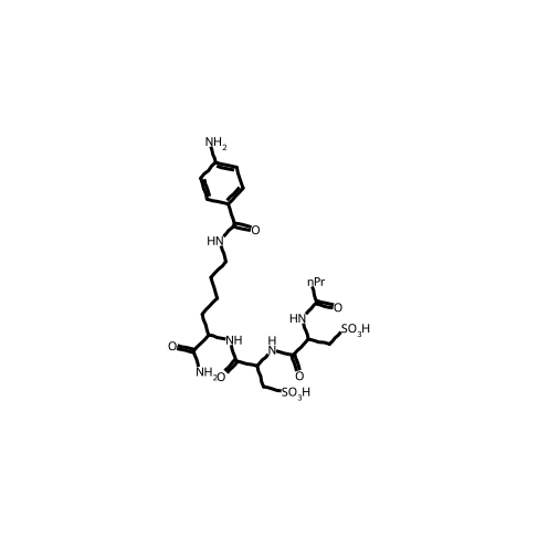 CCCC(=O)NC(CS(=O)(=O)O)C(=O)NC(CS(=O)(=O)O)C(=O)NC(CCCCNC(=O)c1ccc(N)cc1)C(N)=O